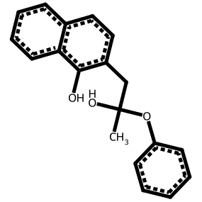 CC(O)(Cc1ccc2ccccc2c1O)Oc1ccccc1